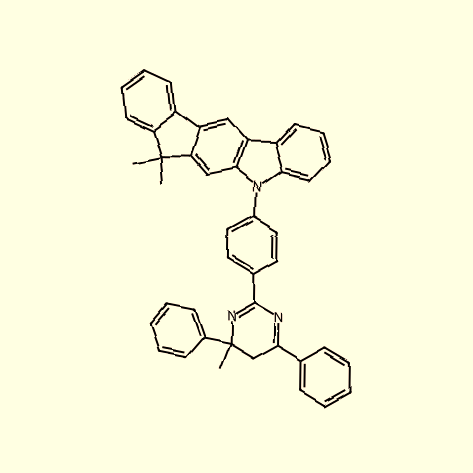 CC1(c2ccccc2)CC(c2ccccc2)=NC(c2ccc(-n3c4ccccc4c4cc5c(cc43)C(C)(C)c3ccccc3-5)cc2)=N1